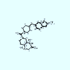 O=C1CO[C@H]2CCN(C(=O)N3CCC(Cc4cnc5cc(C(F)(F)F)nn5c4)CC3)C[C@H]2N1